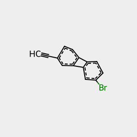 C#Cc1ccc2c(c1)-c1cc(Br)ccc1-2